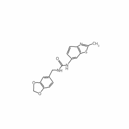 Cc1nc2ccc(NC(=O)NCc3ccc4c(c3)OCO4)cc2s1